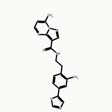 Cc1cc(-c2cnco2)ccc1CCNC(=O)c1cnn2c(C)ccnc12